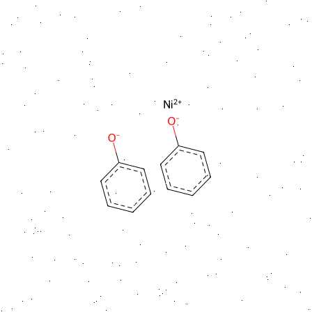 [Ni+2].[O-]c1ccccc1.[O-]c1ccccc1